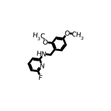 COc1ccc(CNc2cccc(F)n2)c(OC)c1